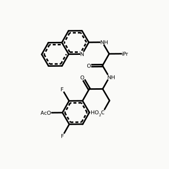 CC(=O)Oc1c(F)ccc(C(=O)C(CC(=O)O)NC(=O)C(Nc2ccc3ccccc3n2)C(C)C)c1F